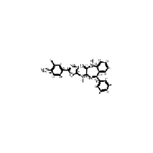 Cc1cc(-c2nnc(NC3N=C(c4ccccc4)c4ccccc4NC3=O)o2)ccc1C#N